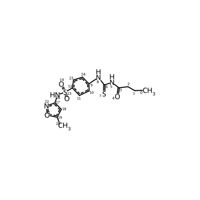 CCCC(=O)NC(=S)Nc1ccc(S(=O)(=O)Nc2cc(C)on2)cc1